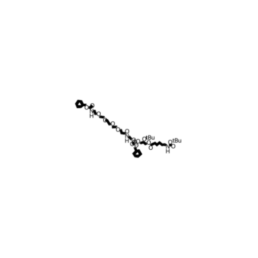 CC(C)(C)OC(=O)NCCCCCC(=O)OCC(COP(=O)(OCCNC(=O)CCOCCOCCOCCOCCNC(=O)OCc1ccccc1)OCc1ccccc1)OC(C)(C)C